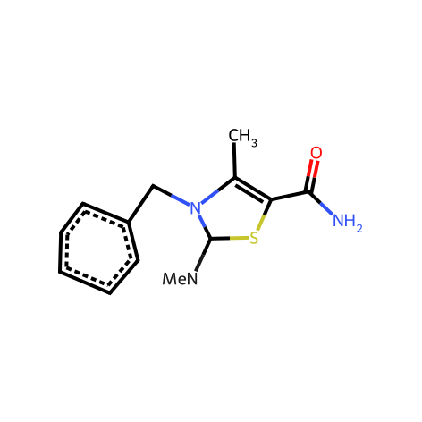 CNC1SC(C(N)=O)=C(C)N1Cc1ccccc1